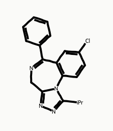 CC(C)c1nnc2n1-c1ccc(Cl)cc1C(c1ccccc1)=NC2